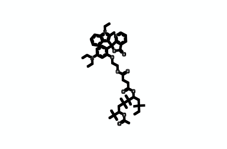 CCN(CC)c1ccc(C2(c3c(C)n(CC)c4ccccc34)OC(=O)c3cccnc32)c(OCCOC(=O)CCC(=O)OC(CC(C)(C)CC)C(C)(C)C(C)(C)CC(OC(C)=O)C(C)(C)C)c1